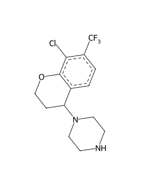 FC(F)(F)c1ccc2c(c1Cl)OCCC2N1CCNCC1